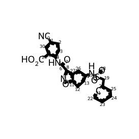 N#Cc1ccc(NC(=O)c2noc3ccc(NS(=O)(=O)Cc4ccccc4)cc23)c(C(=O)O)c1